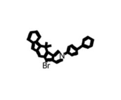 CC1(C)C2=c3ccccc3=CC2=Cc2c(Br)c3ccn(-c4ccc(-c5ccccc5)cc4)cc-3c21